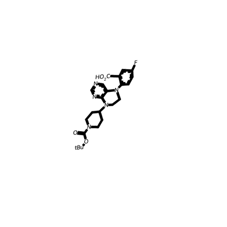 CC(C)(C)OC(=O)N1CCC(N2CCN(c3ccc(F)cc3C(=O)O)c3cncnc32)CC1